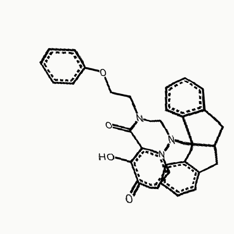 O=C1c2c(O)c(=O)ccn2N(C23c4ccccc4CC2Cc2ccccc23)CN1CCOc1ccccc1